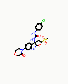 CS(=O)(=O)CCC(NC(=O)Nc1ccc(Cl)cc1)(C(N)=O)c1ccc(N2CCOCC2=O)cc1